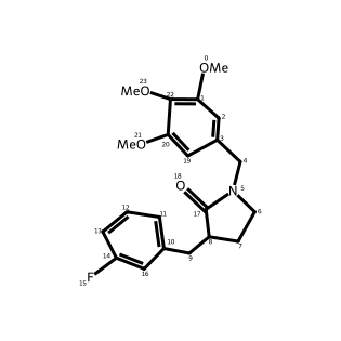 COc1cc(CN2CCC(Cc3cccc(F)c3)C2=O)cc(OC)c1OC